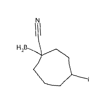 BC1(C#N)CCCC(I)CC1